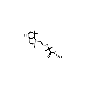 CN1CC2NCC(F)(F)C2N1CCOC(C)(C)C(=O)OC(C)(C)C